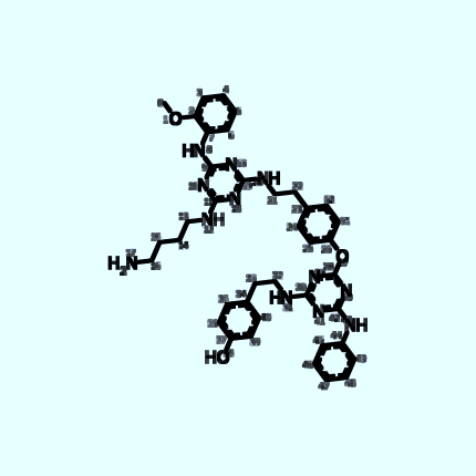 COc1ccccc1Nc1nc(NCCCCN)nc(NCCc2ccc(Oc3nc(NCCc4ccc(O)cc4)nc(Nc4ccccc4)n3)cc2)n1